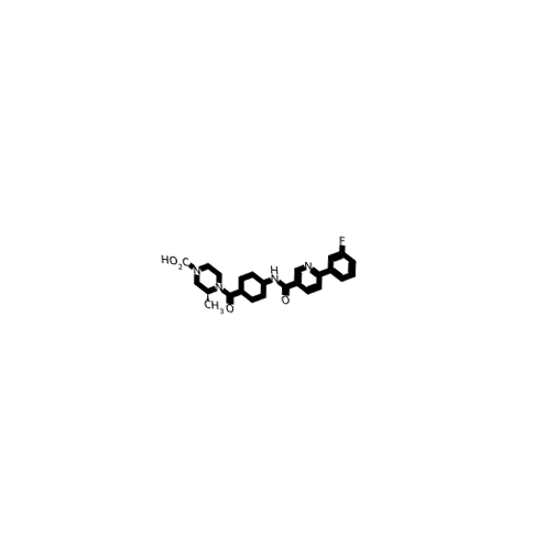 C[C@@H]1CN(C(=O)O)CCN1C(=O)C1CCC(NC(=O)c2ccc(-c3cccc(F)c3)nc2)CC1